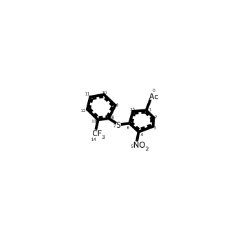 CC(=O)c1ccc([N+](=O)[O-])c(Sc2ccccc2C(F)(F)F)c1